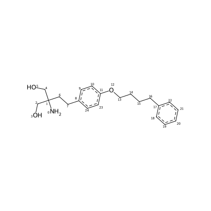 NC(CO)(CO)CCc1ccc(OCCCCc2ccccc2)cc1